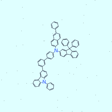 c1ccc(-c2ccc3cc(N(c4ccc(-c5cccc(-c6ccc7c(c6)c6ccccc6n7-c6ccccc6)c5)cc4)c4ccc5c(c4)C(c4ccccc4)(c4ccccc4)c4ccccc4-5)ccc3c2)cc1